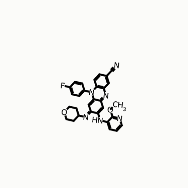 COc1ncccc1Nc1cc2nc3cc(C#N)ccc3n(-c3ccc(F)cc3)c-2c/c1=N\C1CCOCC1